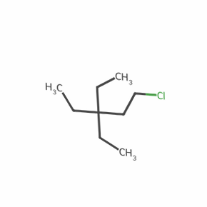 CCC(CC)(CC)CCCl